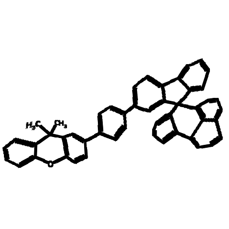 CC1(C)c2ccccc2Oc2ccc(-c3ccc(-c4ccc5c(c4)C4(c6ccccc6-5)c5ccccc5-c5cccc6cccc4c56)cc3)cc21